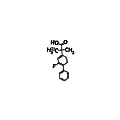 CC([11CH3])(C(=O)O)c1ccc(-c2ccccc2)c(F)c1